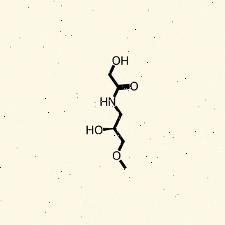 COC[C@@H](O)CNC(=O)CO